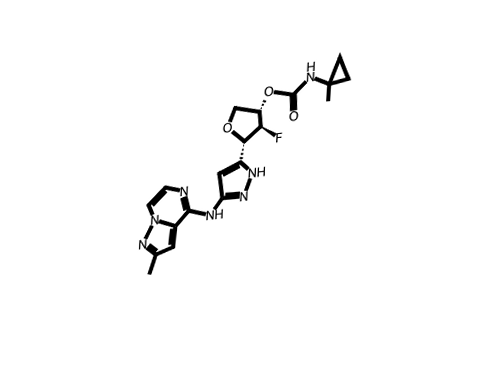 Cc1cc2c(Nc3cc([C@@H]4OC[C@H](OC(=O)NC5(C)CC5)[C@H]4F)[nH]n3)nccn2n1